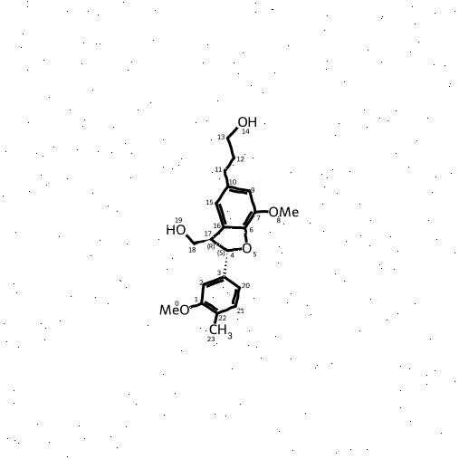 COc1cc([C@H]2Oc3c(OC)cc(CCCO)cc3[C@@H]2CO)ccc1C